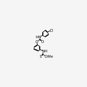 COC(=S)Nc1cccc(OC(=O)Nc2ccc(Cl)cc2)c1